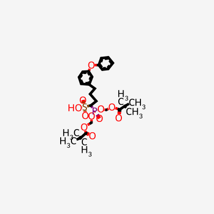 CC(C)(C)C(=O)OCOP(=O)(OCOC(=O)C(C)(C)C)C(CCCc1cccc(Oc2ccccc2)c1)S(=O)(=O)O